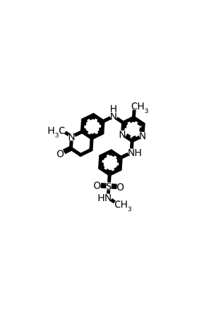 CNS(=O)(=O)c1cccc(Nc2ncc(C)c(Nc3ccc4c(c3)CCC(=O)N4C)n2)c1